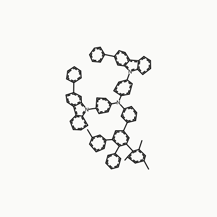 Cc1cccc(-c2cc(-c3cccc(N(c4ccc(-n5c6ccccc6c6ccc(-c7ccccc7)cc65)cc4)c4ccc(-n5c6ccccc6c6ccc(-c7ccccc7)cc65)cc4)c3)cc(-c3c(C)cc(C)cc3C)c2-c2ccccc2)c1